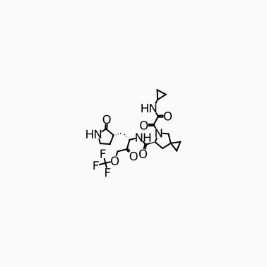 O=C(NC1CC1)C(=O)N1CC2(CC2)C[C@H]1C(=O)N[C@@H](C[C@@H]1CCNC1=O)C(=O)COC(F)(F)F